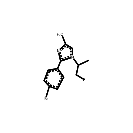 CC(CF)n1cc(C(F)(F)F)nc1-c1ccc(Br)cc1